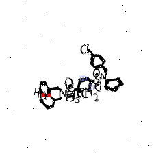 C=C(/C=C\C(=C/C)S(=O)(=O)N(Cc1ccc(Cl)cc1)C1CCCC1)S(=O)(=O)N(Cc1ccccc1)CC1CCCNC1